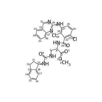 COC(=O)C(CNC(=O)N[C@@H]1CCc2ccccc21)NC(=O)c1c(Cl)ccc(Nc2ncc3ccccc3n2)c1Cl